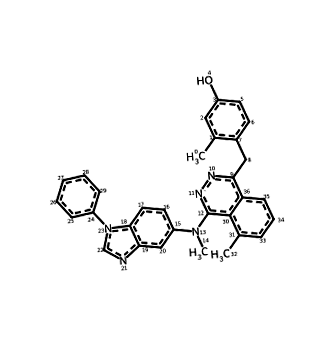 Cc1cc(O)ccc1Cc1nnc(N(C)c2ccc3c(c2)ncn3-c2ccccc2)c2c(C)cccc12